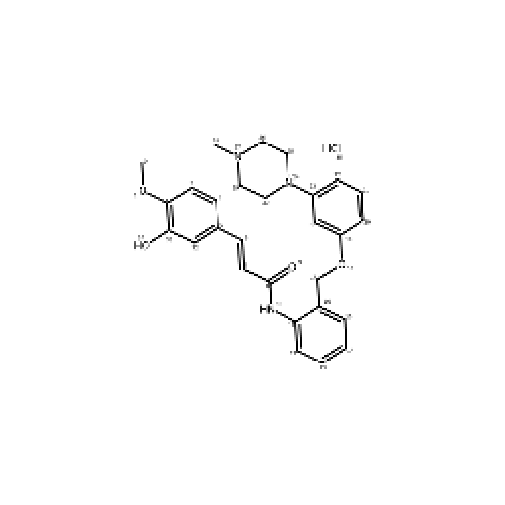 COc1ccc(C=CC(=O)Nc2ccccc2COc2cccc(N3CCN(C)CC3)c2)cc1O.Cl